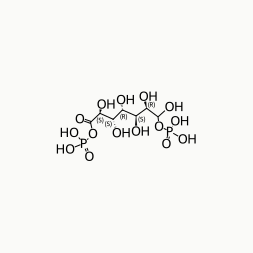 O=C(OP(=O)(O)O)[C@@H](O)[C@@H](O)[C@H](O)[C@H](O)[C@@H](O)C(O)OP(=O)(O)O